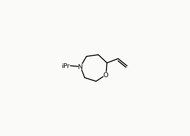 C=CC1CCN(C(C)C)CCO1